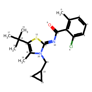 Cc1cccc(Cl)c1C(=O)/N=c1\sc(C(C)(C)C)c(C)n1CC1CC1